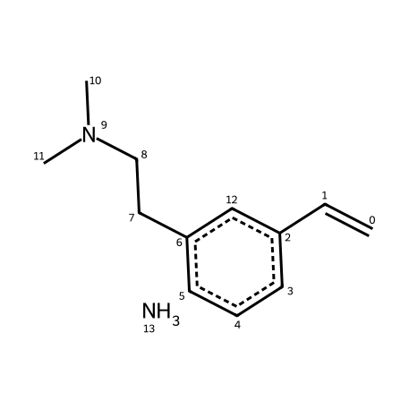 C=Cc1cccc(CCN(C)C)c1.N